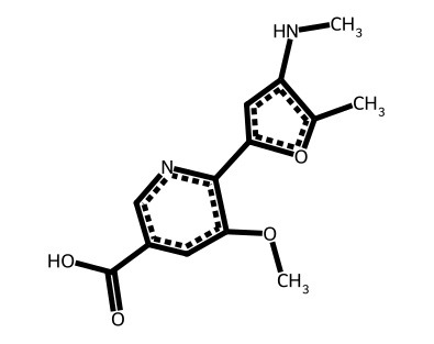 CNc1cc(-c2ncc(C(=O)O)cc2OC)oc1C